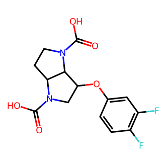 O=C(O)N1CC(Oc2ccc(F)c(F)c2)C2C1CCN2C(=O)O